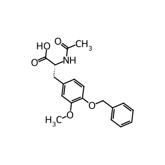 COc1cc(C[C@@H](NC(C)=O)C(=O)O)ccc1OCc1ccccc1